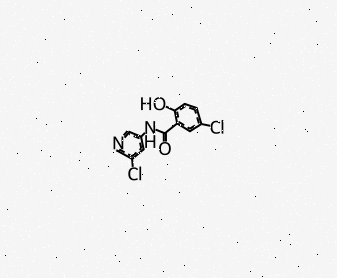 O=C(Nc1cncc(Cl)c1)c1cc(Cl)ccc1O